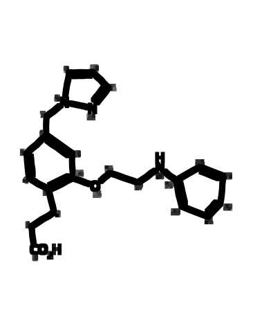 O=C(O)CCc1ccc(Cn2cccn2)cc1OCCNc1ccccc1